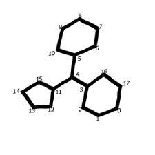 C1CCC(C(C2CCCCC2)C2CCCC2)CC1